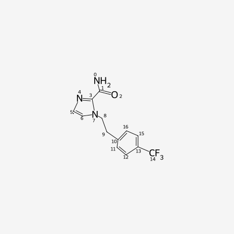 NC(=O)c1n[c]cn1CCc1ccc(C(F)(F)F)cc1